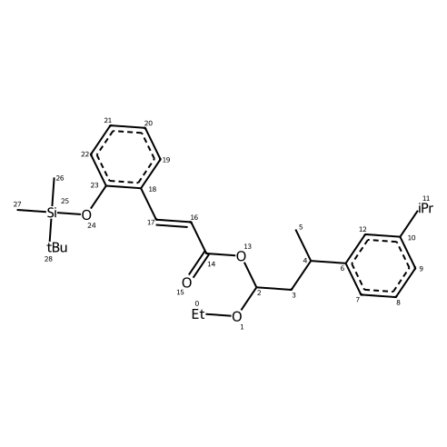 CCOC(CC(C)c1cccc(C(C)C)c1)OC(=O)/C=C/c1ccccc1O[Si](C)(C)C(C)(C)C